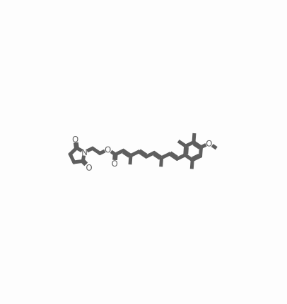 COc1cc(C)c(/C=C/C(C)=C/C=C/C(C)=C/C(=O)OCCN2C(=O)CCC2=O)c(C)c1C